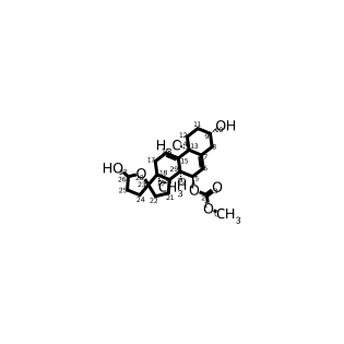 COC(=O)O[C@@H]1C=C2C[C@@H](O)CC[C@]2(C)C2=CC[C@@]3(C)C(CCC34CCC(O)O4)[C@@H]21